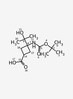 CC(C)(C)OC(=O)NC1(C(C)(C)O)CC(C(=O)O)C1